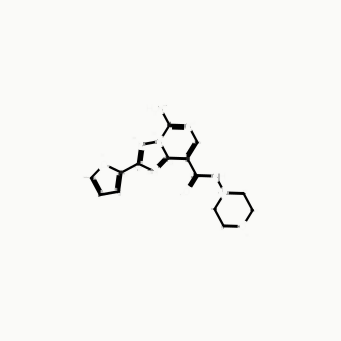 Nc1ncc(C(=O)NN2CCOCC2)c2nc(-c3ccco3)nn12